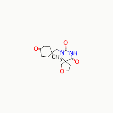 CC1(CN2CC3(CCOC3)C(=O)NC2=O)CCC(=O)CC1